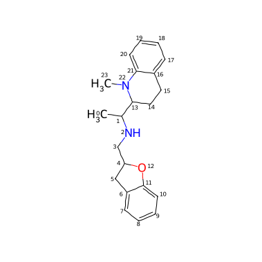 CC(NCC1Cc2ccccc2O1)C1CCc2ccccc2N1C